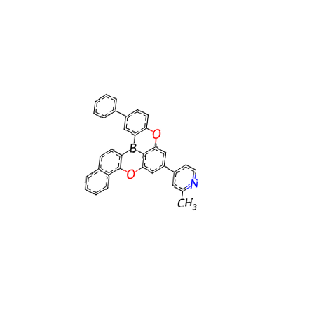 Cc1cc(-c2cc3c4c(c2)Oc2c(ccc5ccccc25)B4c2cc(-c4ccccc4)ccc2O3)ccn1